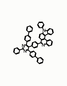 c1ccc(-c2ccc(-c3nc(-c4ccccc4)nc(-c4ccc(-c5ccccc5)cc4)c3-c3ccc(-c4nc5ccccc5c5c4ccc4c5c5ccccc5n4-c4ccccc4)cc3)cc2)cc1